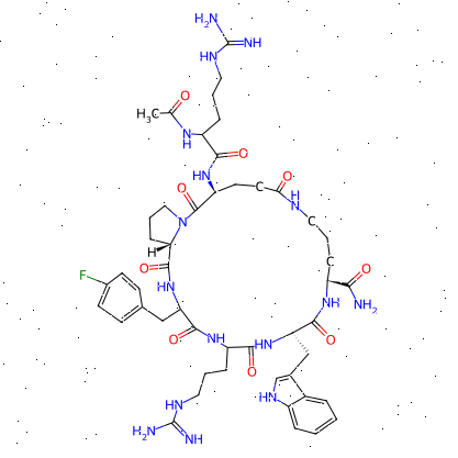 CC(=O)NC(CCCNC(=N)N)C(=O)N[C@H]1CCC(=O)NCCC[C@@H](C(N)=O)NC(=O)[C@H](Cc2c[nH]c3ccccc23)NC(=O)C(CCCNC(=N)N)NC(=O)C(Cc2ccc(F)cc2)NC(=O)[C@@H]2CCCN2C1=O